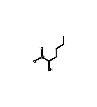 CCCCC(=N)[N+](=O)[O-]